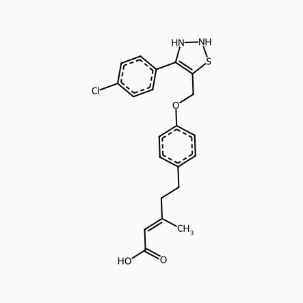 C/C(=C\C(=O)O)CCc1ccc(OCC2=C(c3ccc(Cl)cc3)NNS2)cc1